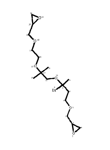 CCC(C)(CCOCC1CO1)OCC(C)(C)OCCOCC1CO1